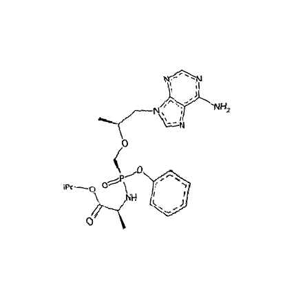 CC(C)OC(=O)[C@H](C)N[P@@](=O)(CO[C@@H](C)Cn1cnc2c(N)ncnc21)Oc1ccccc1